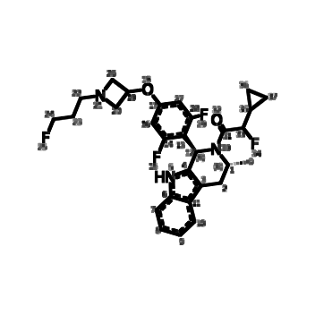 C[C@@H]1Cc2c([nH]c3ccccc23)[C@@H](c2c(F)cc(OC3CN(CCCF)C3)cc2F)N1C(=O)C(F)C1CC1